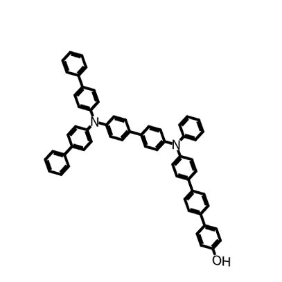 Oc1ccc(-c2ccc(-c3ccc(N(c4ccccc4)c4ccc(-c5ccc(N(c6ccc(-c7ccccc7)cc6)c6ccc(-c7ccccc7)cc6)cc5)cc4)cc3)cc2)cc1